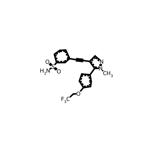 Cn1ncc(C#Cc2cccc(S(N)(=O)=O)c2)c1-c1ccc(OCC(F)(F)F)cc1